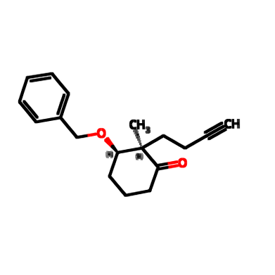 C#CCC[C@@]1(C)C(=O)CCC[C@H]1OCc1ccccc1